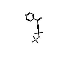 CC(C)(C#CC(=O)c1ccncc1)O[Si](C)(C)C